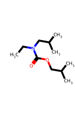 [CH2]CN(CC(C)C)C(=O)OCC(C)C